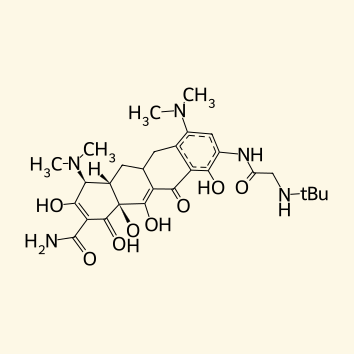 CN(C)c1cc(NC(=O)CNC(C)(C)C)c(O)c2c1CC1C[C@H]3[C@H](N(C)C)C(O)=C(C(N)=O)C(=O)[C@@]3(O)C(O)=C1C2=O